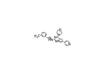 Cc1cccc(/C=N/Nc2nc(N3CCOCC3)c3cc(-c4ccncc4)cn3n2)c1